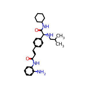 CC(C)CNC(C(=O)NC1CCCCC1)c1ccc(/C=C/C(=O)Nc2ccccc2N)cc1